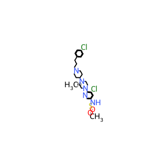 COOSNc1cnc(N2CCN(C3CCN(CCCc4ccc(Cl)cc4)CC3)[C@@H](C)C2)c(Cl)c1